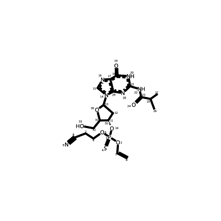 C=COP(=S)(OCCC#N)O[C@H]1CC(n2cnc3c(=O)[nH]c(NC(=O)C(C)C)nc32)OC1CO